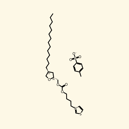 CCCCCCCCCCCCCC[C@@H]1CO[C@@H](COC(=O)OCCCC[n+]2ccsc2)C1.Cc1ccc(S(=O)(=O)[O-])cc1